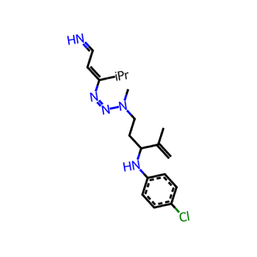 C=C(C)C(CCN(C)/N=N\C(=C\C=N)C(C)C)Nc1ccc(Cl)cc1